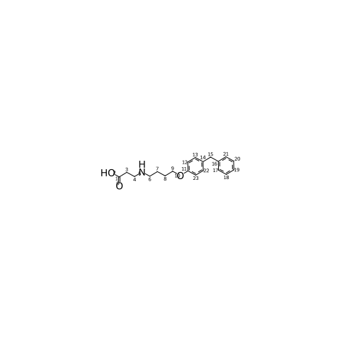 O=C(O)CCNCCCCOc1ccc(Cc2ccccc2)cc1